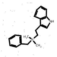 C[N+](C)(CCc1c[nH]c2ccc[c]c12)Cc1ccccc1